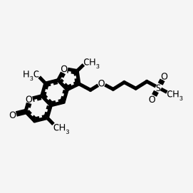 Cc1oc2c(C)c3oc(=O)cc(C)c3cc2c1COCCCCS(C)(=O)=O